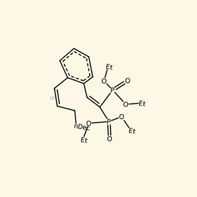 CCCCCCCCCCC/C=C\c1ccccc1C=C(P(=O)(OCC)OCC)P(=O)(OCC)OCC